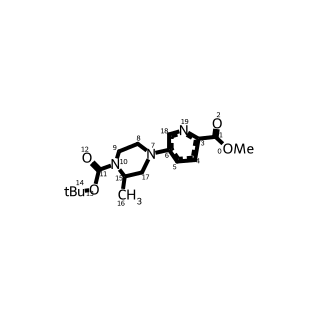 COC(=O)c1ccc(N2CCN(C(=O)OC(C)(C)C)C(C)C2)cn1